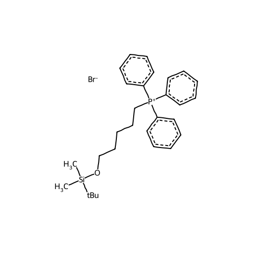 CC(C)(C)[Si](C)(C)OCCCCC[P+](c1ccccc1)(c1ccccc1)c1ccccc1.[Br-]